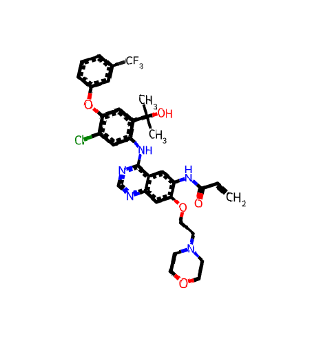 C=CC(=O)Nc1cc2c(Nc3cc(Cl)c(Oc4cccc(C(F)(F)F)c4)cc3C(C)(C)O)ncnc2cc1OCCN1CCOCC1